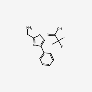 NCc1nc(-c2ccccc2)cs1.O=C(O)C(F)(F)F